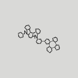 c1ccc(-n2c3ccccc3c3c4c5ccccc5n(-c5cccc(-c6ccc7c(c6)-c6ccccc6-c6ccccc6-c6ccccc6-7)c5)c4ccc32)cc1